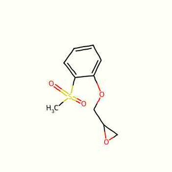 CS(=O)(=O)c1ccccc1OCC1CO1